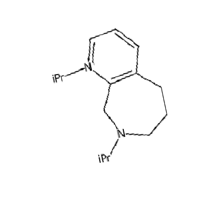 CC(C)N1CCCc2ccc[n+](C(C)C)c2C1